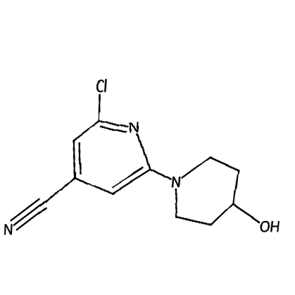 N#Cc1cc(Cl)nc(N2CCC(O)CC2)c1